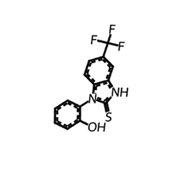 Oc1ccccc1-n1c(=S)[nH]c2cc(C(F)(F)F)ccc21